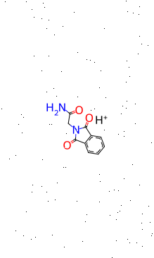 NC(=O)CN1C(=O)c2ccccc2C1=O.[H+]